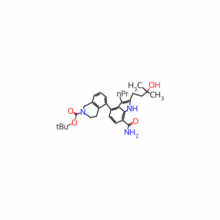 CCCc1c(CCC(C)(C)O)[nH]c2c(C(N)=O)ccc(-c3cccc4c3CCN(C(=O)OC(C)(C)C)C4)c12